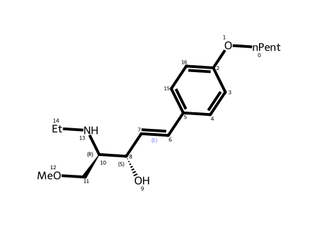 CCCCCOc1ccc(/C=C/[C@H](O)[C@@H](COC)NCC)cc1